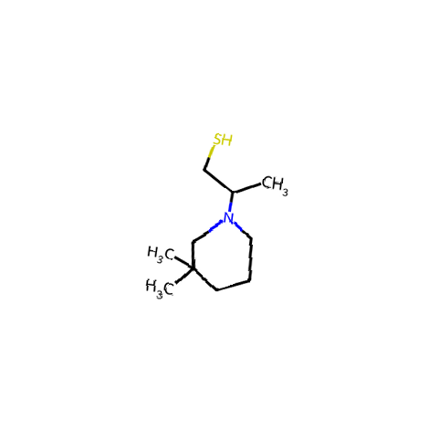 CC(CS)N1CCCC(C)(C)C1